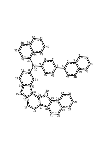 c1ccc2cc(-c3ccc(N(c4ccc5sc6ccc7c8ccc9ccccc9c8oc7c6c5c4)c4cccc5ccccc45)cc3)ccc2c1